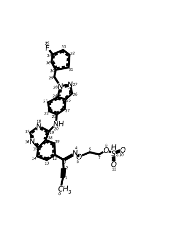 CC#CC(=NOCCO[SH](=O)=O)c1ccc2ncnc(Nc3ccc4c(cnn4Cc4cccc(F)c4)c3)c2c1